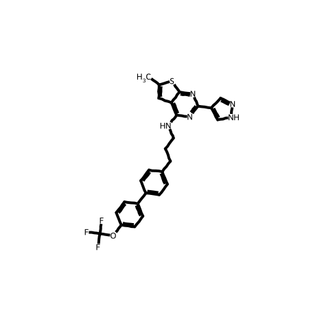 Cc1cc2c(NCCCc3ccc(-c4ccc(OC(F)(F)F)cc4)cc3)nc(-c3cn[nH]c3)nc2s1